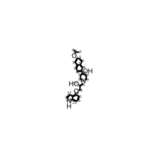 CC(C)Oc1ccc2cc(C3(O)CCN(C[C@H](O)COc4cccc5[nH]ccc45)CC3)ccc2c1